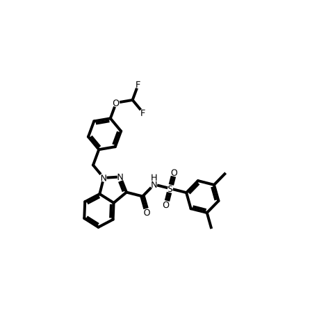 Cc1cc(C)cc(S(=O)(=O)NC(=O)c2nn(Cc3ccc(OC(F)F)cc3)c3ccccc23)c1